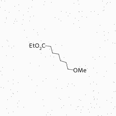 CCOC(=O)CCCCCCOC